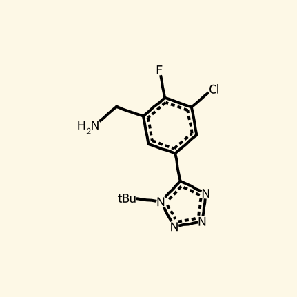 CC(C)(C)n1nnnc1-c1cc(Cl)c(F)c(CN)c1